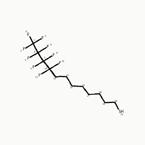 FC(F)(F)C(F)(F)C(F)(F)C(F)(F)CCCCCCCCS